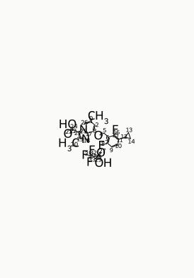 Cc1cc(OCc2c(F)ccc(C3CC3)c2F)c2nc(C)c(C(=O)O)n2c1.O=C(O)C(F)(F)F